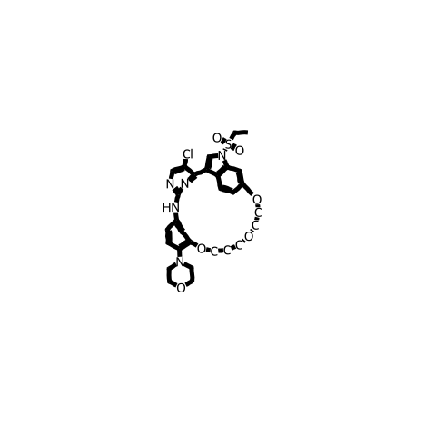 CCS(=O)(=O)n1cc2c3ccc(cc31)OCCOCCCOc1cc(ccc1N1CCOCC1)Nc1ncc(Cl)c-2n1